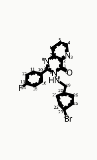 O=c1c2ncccc2nc(-c2ccc(F)cc2)n1NCc1ccc(Br)cc1